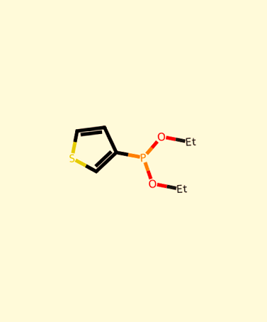 CCOP(OCC)c1ccsc1